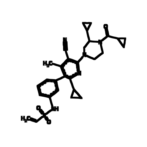 C=CS(=O)(=O)Nc1cccc(-c2c(C3CC3)nc(N3CCN(C(=O)C4CC4)C(C4CC4)C3)c(C#N)c2C)c1